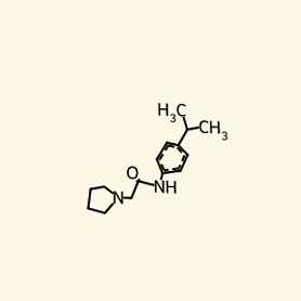 CC(C)c1ccc(NC(=O)CN2CCCC2)cc1